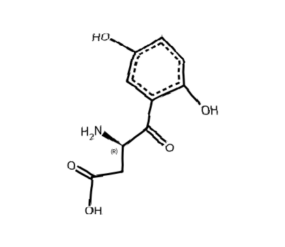 N[C@H](CC(=O)O)C(=O)c1cc(O)[c]cc1O